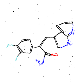 NC(=O)C(=Cc1c[nH]c2ncccc12)c1ccc(F)c(F)c1